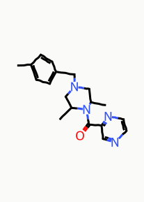 Cc1ccc(CN2CC(C)N(C(=O)c3cnccn3)C(C)C2)cc1